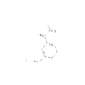 CCC1=CC(C(=O)C(=O)O)=[C]CC1